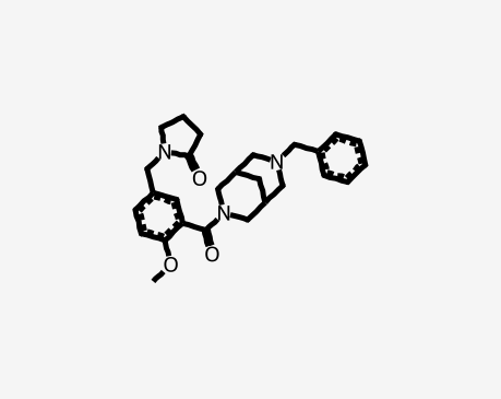 COc1ccc(CN2CCCC2=O)cc1C(=O)N1CC2CC(CN(Cc3ccccc3)C2)C1